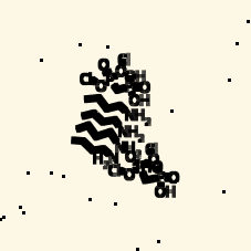 CCCCN.CCCCN.CCCCN.CCCCN.O=P(O)(O)CP(=O)(OCl)OCl.O=P(O)(O)CP(=O)(OCl)OCl